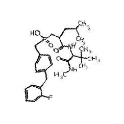 CNC(=O)C(NC(=O)C(CC(C)C)CP(=O)(O)Cc1ccc(Cc2ccccc2F)cc1)C(C)(C)C